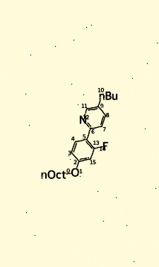 CCCCCCCCOc1ccc(-c2ccc(CCCC)cn2)c(F)c1